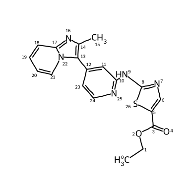 CCOC(=O)c1cnc(Nc2cc(-c3c(C)nc4ccccn34)ccn2)s1